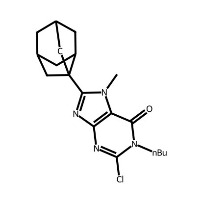 CCCCn1c(Cl)nc2nc(C34CC5CC(CC3C5)C4)n(C)c2c1=O